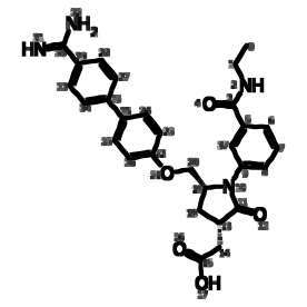 CCNC(=O)c1cccc(N2C(=O)[C@H](CC(=O)O)C[C@H]2COc2ccc(-c3ccc(C(=N)N)cc3)cc2)c1